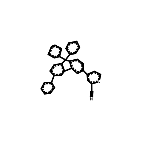 N#Cc1cc(-c2ccc3c(c2)-c2cc(-c4ccccc4)ccc2C3(c2ccccc2)c2ccccc2)ccn1